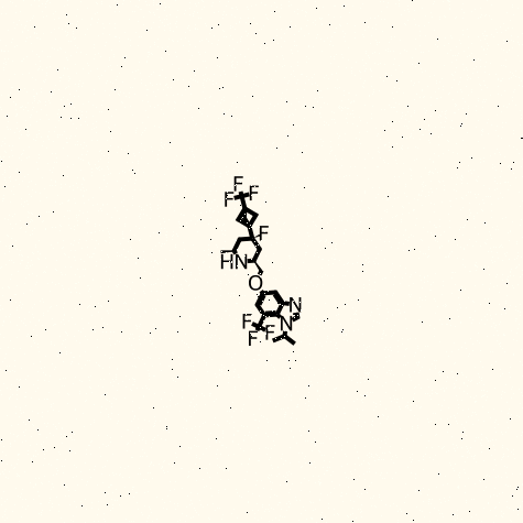 CC(C)n1cnc2cc(OC[C@@H]3C[C@](F)(C45CC(C(F)(F)F)(C4)C5)C[C@H](C)N3)cc(C(F)(F)F)c21